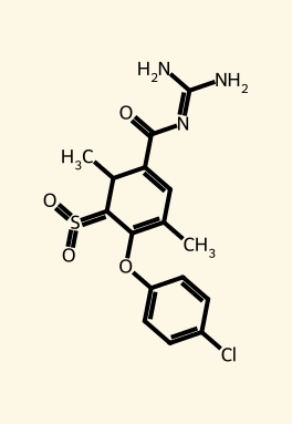 CC1=C(Oc2ccc(Cl)cc2)C(=S(=O)=O)C(C)C(C(=O)N=C(N)N)=C1